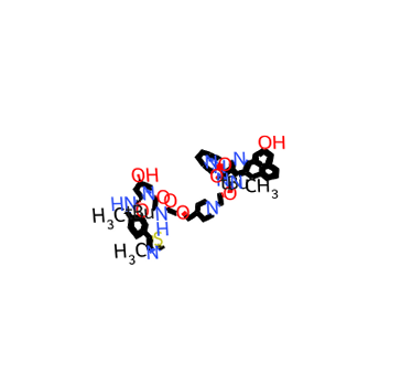 Cc1ncsc1-c1ccc([C@H](C)NC(=O)[C@@H]2C[C@@H](O)CN2C(=O)[C@@H](NC(=O)COCC2CCN(CCOc3nc(N4CC5CCC(C4)N5C(=O)OC(C)(C)C)c4cnc5c(c4n3)C(C)c3cccc4cc(O)cc-5c34)CC2)C(C)(C)C)cc1